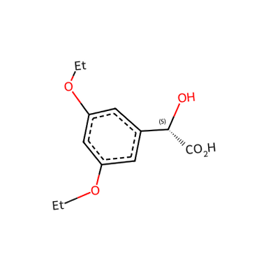 CCOc1cc(OCC)cc([C@H](O)C(=O)O)c1